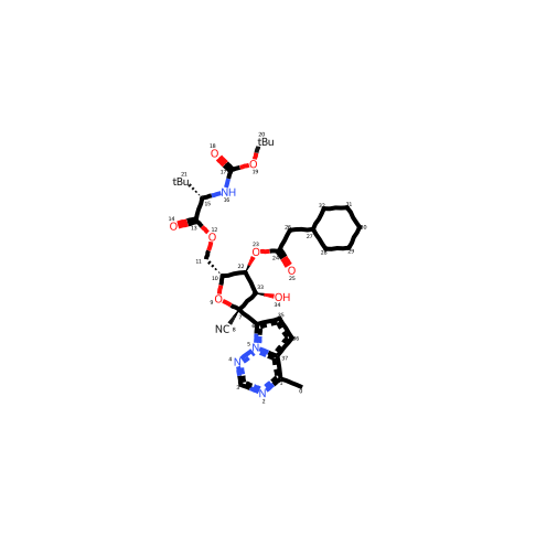 Cc1ncnn2c([C@]3(C#N)O[C@H](COC(=O)[C@@H](NC(=O)OC(C)(C)C)C(C)(C)C)[C@@H](OC(=O)CC4CCCCC4)[C@H]3O)ccc12